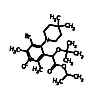 Cc1c(Br)c(N2CCC(C)(C)CC2)c(C(OC(C)(C)C)C(=O)OC(C)C)c(C)[n+]1[O-]